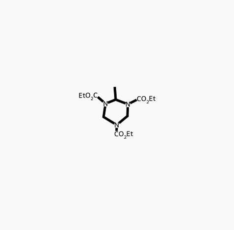 CCOC(=O)N1CN(C(=O)OCC)C(C)N(C(=O)OCC)C1